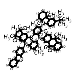 Cc1cc2c3c(c1)N(c1cc4c(cc1C)C(C)(C)c1ccccc1C4(C)C)c1cc(N4c5ccc(C(C)(C)C)cc5C5(C)CCCCC45C)ccc1B3c1cc3c(cc1N2c1ccc2c(c1)oc1ccccc12)C(C)(C)CC3(C)C